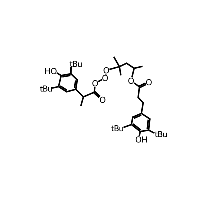 CC(CC(C)(C)OOOC(=O)C(C)c1cc(C(C)(C)C)c(O)c(C(C)(C)C)c1)OC(=O)CCc1cc(C(C)(C)C)c(O)c(C(C)(C)C)c1